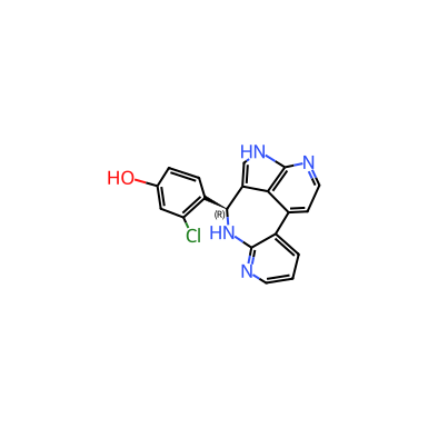 Oc1ccc([C@@H]2Nc3ncccc3-c3ccnc4[nH]cc2c34)c(Cl)c1